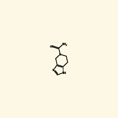 N=C(N)N1CCc2[nH]cnc2C1